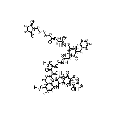 Cc1c(F)cc2nc3c(c4c2c1CC[C@@H]4N(C)C(=O)C(C)OCNC(=O)CNC(=O)[C@H](Cc1ccccc1)NC(=O)CNC(=O)CNC(=O)CCCCCN1C(=O)C=CC1=O)Cn1c-3cc2c(c1=O)COC(=O)[C@H]2O